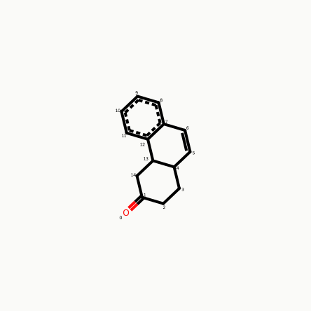 O=C1CCC2C=Cc3ccccc3C2C1